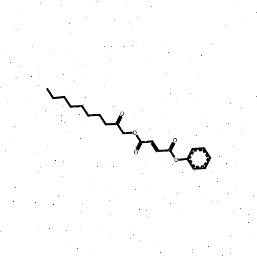 CCCCCCCCC(=O)COC(=O)/C=C/C(=O)Oc1ccccc1